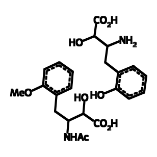 COc1ccccc1CC(NC(C)=O)C(O)C(=O)O.NC(Cc1ccccc1O)C(O)C(=O)O